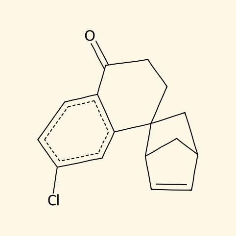 O=C1CCC2(CC3C=CC2C3)c2cc(Cl)ccc21